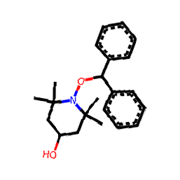 CC1(C)CC(O)CC(C)(C)N1OC(c1ccccc1)c1ccccc1